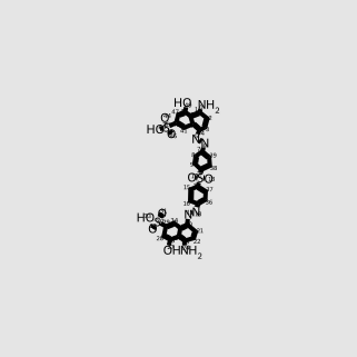 Nc1ccc(N=Nc2ccc(S(=O)(=O)c3ccc(N=Nc4ccc(N)c5c(O)cc(S(=O)(=O)O)cc45)cc3)cc2)c2cc(S(=O)(=O)O)cc(O)c12